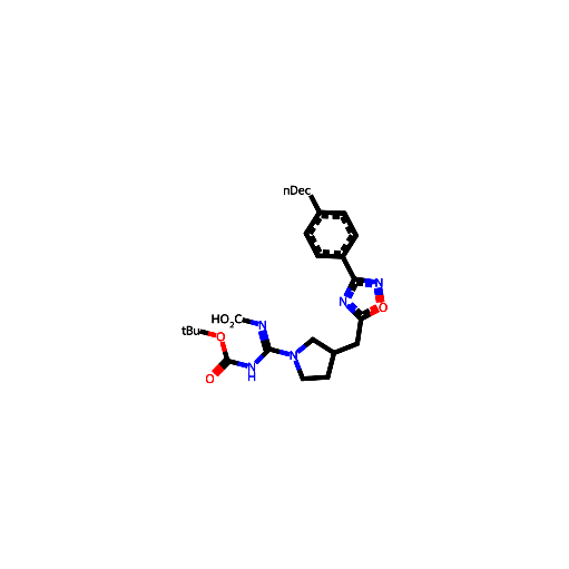 CCCCCCCCCCc1ccc(-c2noc(CC3CCN(C(=NC(=O)O)NC(=O)OC(C)(C)C)C3)n2)cc1